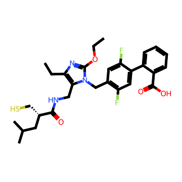 CCOc1nc(CC)c(CNC(=O)[C@@H](CS)CC(C)C)n1Cc1cc(F)c(-c2ccccc2C(=O)O)cc1F